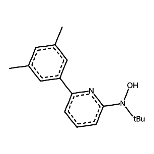 Cc1cc(C)cc(-c2cccc(N(O)C(C)(C)C)n2)c1